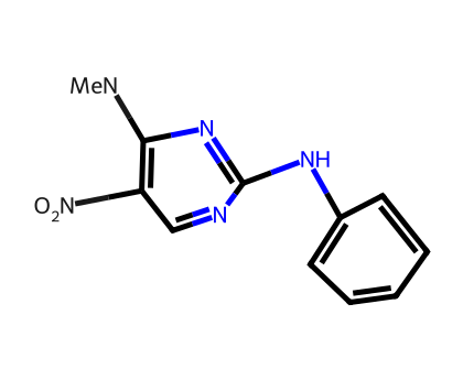 CNc1nc(Nc2ccccc2)ncc1[N+](=O)[O-]